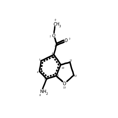 COC(=O)c1ccc(N)c2c1CCO2